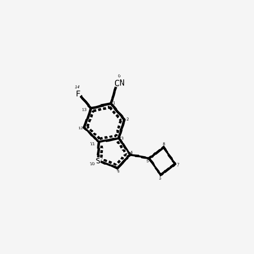 N#Cc1cc2c(C3CCC3)csc2cc1F